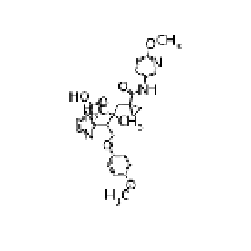 COc1ccc(OCC(c2nccn2C(=O)O)C(C)(C)CC2(C(=O)Nc3ccc(OC)nc3)CC2)cc1